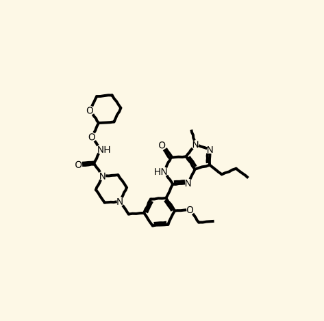 CCCc1nn(C)c2c(=O)[nH]c(-c3cc(CN4CCN(C(=O)NOC5CCCCO5)CC4)ccc3OCC)nc12